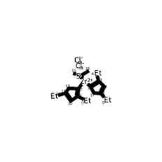 CCC1=CC(CC)=[C]([Zr+2]([C]2=C(CC)C=C(CC)C2)=[Si](C)C)C1.[Cl-].[Cl-]